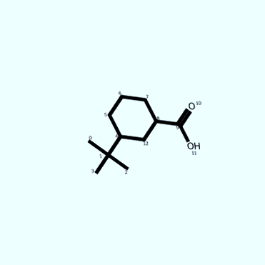 CC(C)(C)C1CCCC(C(=O)O)C1